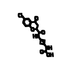 O=C(O)NC12CC(NC(=O)C3CC(=O)c4cc(Cl)ccc4O3)(C1)C2